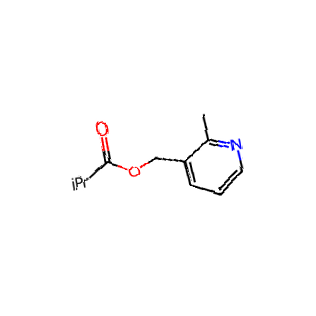 Cc1ncccc1COC(=O)C(C)C